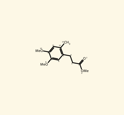 COC(=O)CCc1cc(OC)c(OC)cc1C